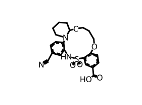 N#Cc1ccc2c(c1)NS(=O)(=O)c1cc(C(=O)O)ccc1OCCCCC1CCCCN21